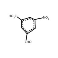 O=Cc1cc(C(=O)O)cc([N+](=O)[O-])c1